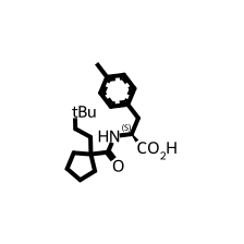 Cc1ccc(C[C@H](NC(=O)C2(CCC(C)(C)C)CCCC2)C(=O)O)cc1